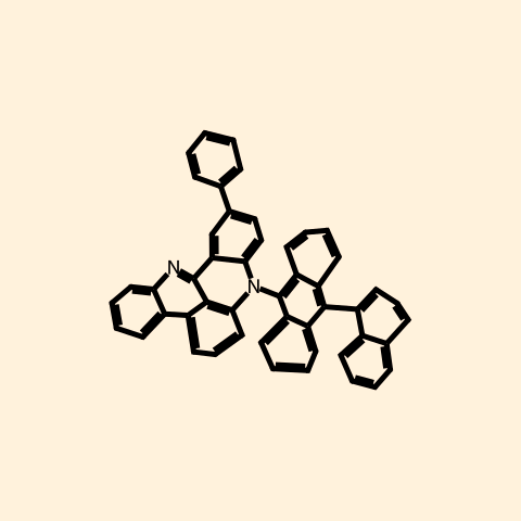 c1ccc(-c2ccc3c(c2)-c2nc4ccccc4c4cccc(c24)N3c2c3ccccc3c(-c3cccc4ccccc34)c3ccccc23)cc1